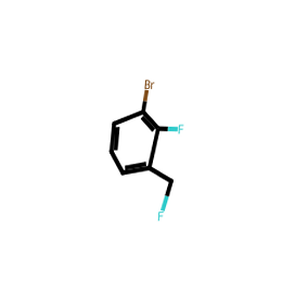 FCc1cccc(Br)c1F